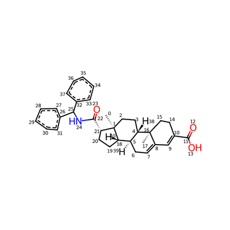 C[C@]12CC[C@H]3[C@@H](CC=C4C=C(C(=O)O)CC[C@@]43C)[C@@H]1CC[C@@H]2C(=O)NC(c1ccccc1)c1ccccc1